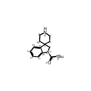 CC(C)(C)C(=O)N1CC2(CCNCC2)c2ccccc21